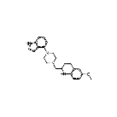 COc1ccc2c(c1)CCC(CN1CCN(c3cccc4[nH]ccc34)CC1)N2